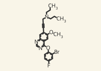 CCCN(CC#Cc1cc2ncnc(Oc3ccc(F)cc3Br)c2cc1OC)CCC